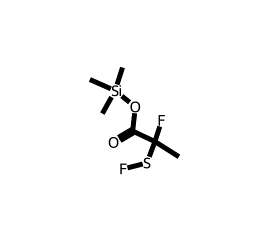 CC(F)(SF)C(=O)O[Si](C)(C)C